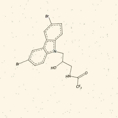 O=C(NCC(O)Cn1c2ccc(Br)cc2c2cc(Br)ccc21)C(F)(F)F